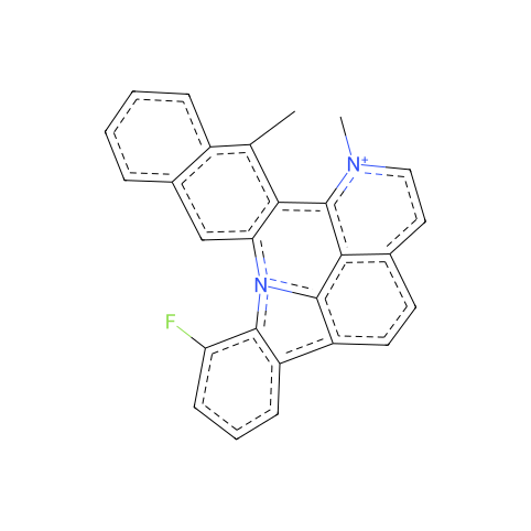 Cc1c2ccccc2cc2c1c1c3c(ccc4c5cccc(F)c5n2c43)cc[n+]1C